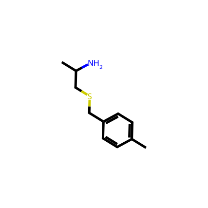 Cc1ccc(CSCC(C)N)cc1